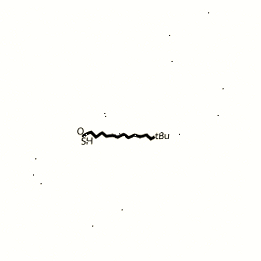 CC(C)(C)CCCCCCCCCCCCC(=O)S